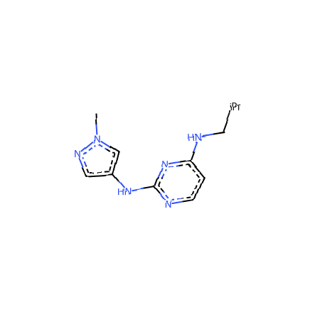 CC(C)CNc1ccnc(Nc2cnn(C)c2)n1